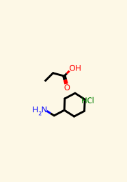 CCC(=O)O.Cl.NCC1CCCCC1